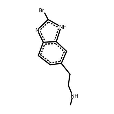 CNCCc1ccc2nc(Br)[nH]c2c1